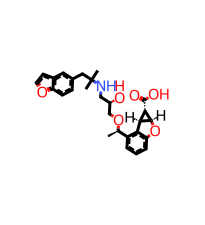 C[C@@H](OC[C@H](O)CNC(C)(C)Cc1ccc2occc2c1)c1cccc2c1[C@@H]1[C@H](O2)[C@H]1C(=O)O